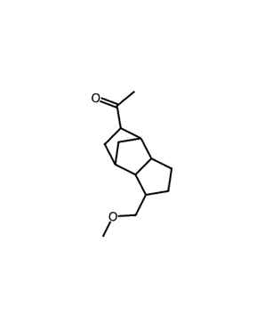 COCC1CCC2C3CC(CC3C(C)=O)C12